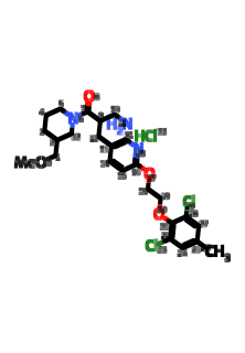 COCC1CCCN(C(=O)C(CN)Cc2ccc(OCCOc3c(Cl)cc(C)cc3Cl)nc2)C1.Cl